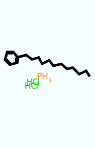 CCCCCCCCCCCCc1ccccc1.Cl.Cl.P